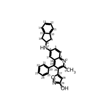 Cc1nc2ccc(NC3Cc4ccccc4C3)cc2c(-c2ccccc2)c1-c1cc(O)no1